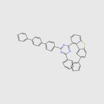 c1ccc(-c2ccc(-c3ccc(-c4nc(-c5ccccc5)nc(-c5cccc6sc7ccc(-c8ccccc8)cc7c56)n4)cc3)cc2)cc1